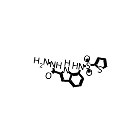 NNC(=O)c1cc2cccc(NS(=O)(=O)c3cccs3)c2[nH]1